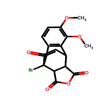 COc1ccc2c(c1OC)C1C=CC(Br)(C2=O)C2C(=O)OC(=O)C12